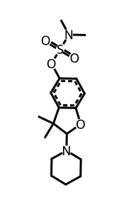 CN(C)S(=O)(=O)Oc1ccc2c(c1)C(C)(C)C(N1CCCCC1)O2